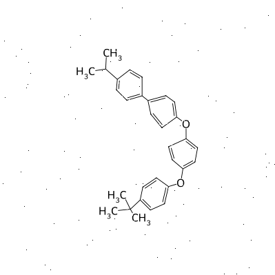 CC(C)c1ccc(-c2ccc(Oc3ccc(Oc4ccc(C(C)(C)C)cc4)cc3)cc2)cc1